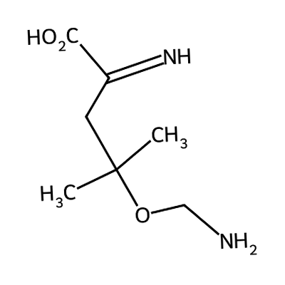 CC(C)(CC(=N)C(=O)O)OCN